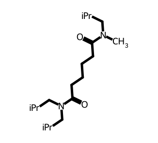 CC(C)CN(C)C(=O)CCCCC(=O)N(CC(C)C)CC(C)C